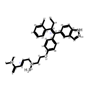 BN(C/C=C/C(=C)N(C)C)CCOc1ccc(/C(=C(/CC)c2ccccc2C)c2ccc3[nH]ncc3c2)cc1